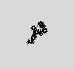 CC(C)(C)OC(=O)N1CCN(c2cc(C(=O)Nc3ccccc3-c3nc4cccnc4s3)nc(-c3ccccc3)n2)CC1